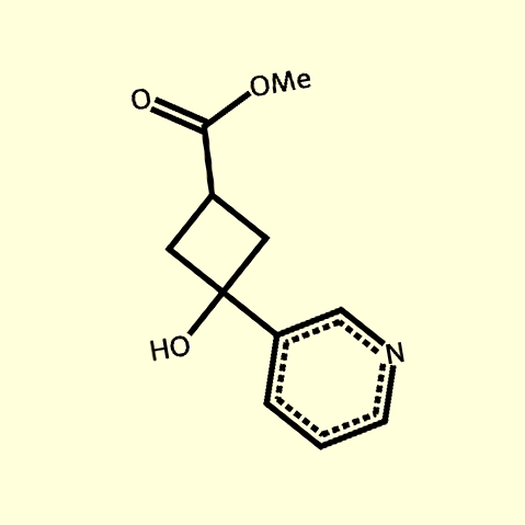 COC(=O)C1CC(O)(c2cccnc2)C1